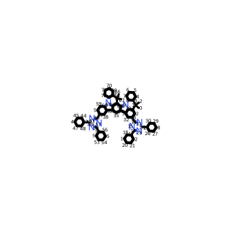 CC1(C)c2ccccc2-n2c3c1cc(-c1nc(-c4ccccc4)nc(-c4ccccc4)n1)cc3c1cc3c4cc(-c5nc(-c6ccccc6)nc(-c6ccccc6)n5)ccc4n4c3c(c12)C(C)(C)c1ccccc1-4